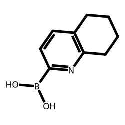 OB(O)c1ccc2c(n1)CCCC2